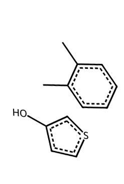 Cc1ccccc1C.Oc1ccsc1